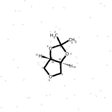 CC1(C)O[C@H]2[CH]OC[C@@H]2O1